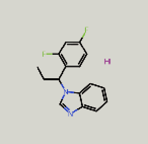 CCC(c1ccc(F)cc1F)n1cnc2ccccc21.I